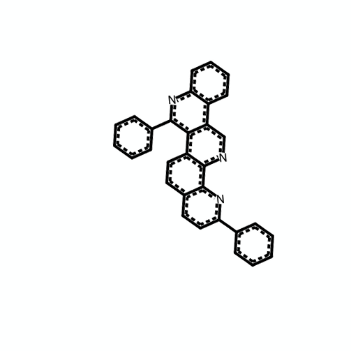 c1ccc(-c2ccc3ccc4c(ncc5c6ccccc6nc(-c6ccccc6)c54)c3n2)cc1